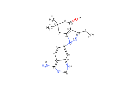 CC(C)Cc1nn(-c2ccc3c(N)ncnc3c2)c2c1C(=O)CC(C)(C)C2